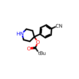 CC(C)(C)C(=O)OC1(c2ccc(C#N)cc2)CCNCC1